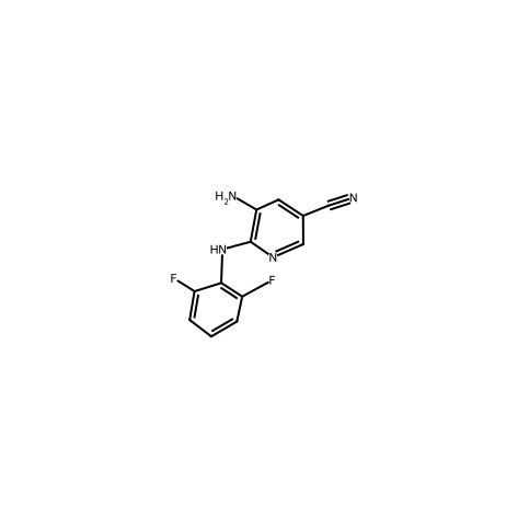 N#Cc1cnc(Nc2c(F)cccc2F)c(N)c1